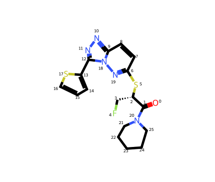 O=C([C@H](CF)Sc1ccc2nnc(-c3cccs3)n2n1)N1CCCCC1